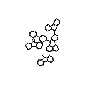 c1ccc(-c2ccc(-c3cc4ccccc4c4ccccc34)cc2N(c2ccc(-c3ccccc3-n3c4ccccc4c4ccccc43)cc2)c2ccc(-c3cccc4c3sc3ccccc34)cc2)cc1